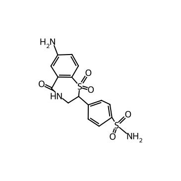 Nc1ccc2c(c1)C(=O)NCC(c1ccc(S(N)(=O)=O)cc1)S2(=O)=O